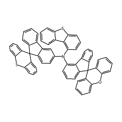 c1ccc2c(c1)Oc1ccccc1C21c2ccccc2-c2c(N(c3ccc4c(c3)-c3ccccc3C43c4ccccc4Sc4ccccc43)c3cccc4sc5ccccc5c34)cccc21